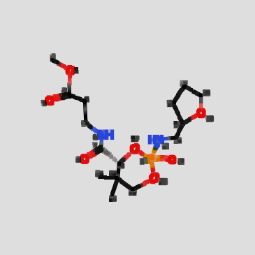 COC(=O)CCNC(=O)[C@@H]1O[P@@](=O)(NCC2CCCO2)OCC1(C)C